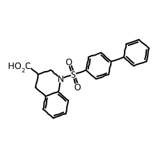 O=C(O)C1Cc2ccccc2N(S(=O)(=O)c2ccc(-c3ccccc3)cc2)C1